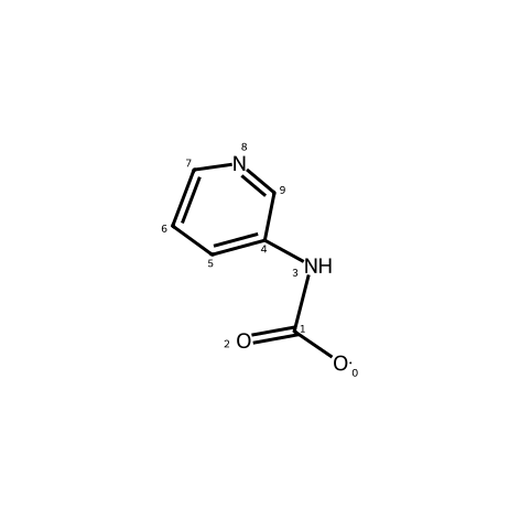 [O]C(=O)Nc1cccnc1